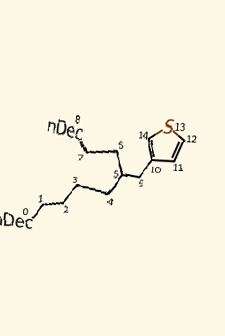 CCCCCCCCCCCCCCC(CCCCCCCCCCCC)Cc1ccsc1